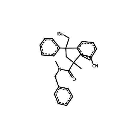 CCC(C)CC(CC(C)(CCC#N)C(=O)N(C)Cc1ccccc1)(c1ccccc1)c1ccccc1